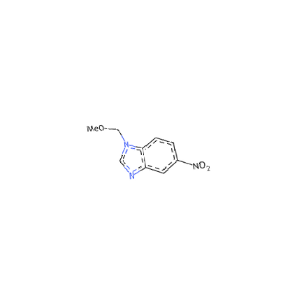 COCn1cnc2cc([N+](=O)[O-])ccc21